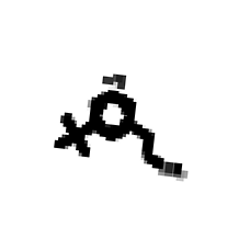 CC(C)(C)c1cccc(CCN)c1.Cl